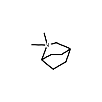 C[N+]1(C)CC2CCC1CC2